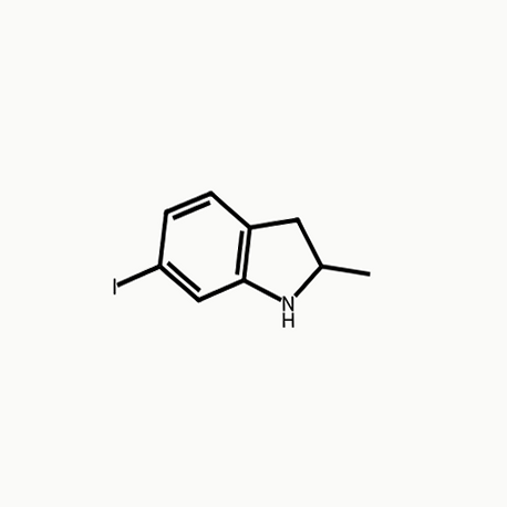 CC1Cc2ccc(I)cc2N1